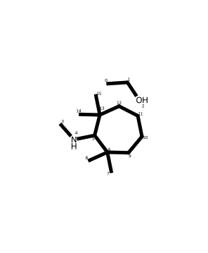 CCO.CNC1C(C)(C)CCCCC1(C)C